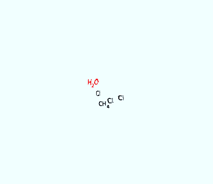 C.O.[C].[C].[C]